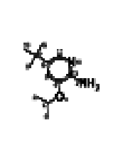 CC(C)Oc1cc(C(C)(C)C)cnc1N